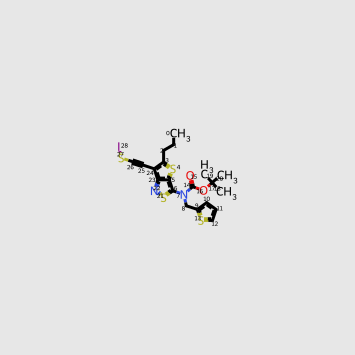 CCCc1sc2c(N(Cc3cccs3)C(=O)OC(C)(C)C)snc2c1C#CSI